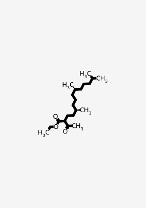 CCOC(=O)C(CC[C@H](C)CCC[C@H](C)CCCC(C)C)C(C)=O